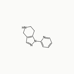 c1ccc(-n2ncc3c2CCNC3)nc1